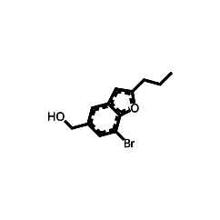 CCCc1cc2cc(CO)cc(Br)c2o1